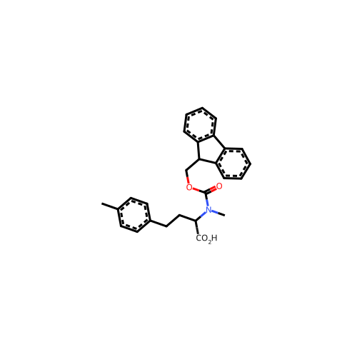 Cc1ccc(CCC(C(=O)O)N(C)C(=O)OCC2c3ccccc3-c3ccccc32)cc1